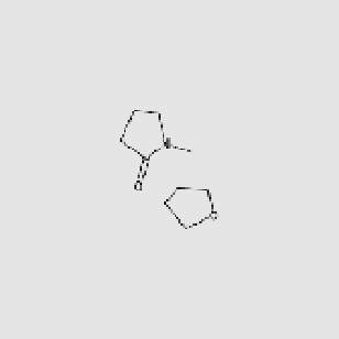 C1CCOC1.CN1CCCC1=O